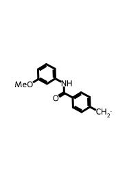 [CH2]c1ccc(C(=O)Nc2cccc(OC)c2)cc1